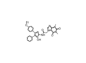 CCOc1ccc(-c2nc(NC(=O)Cn3cnc4c3c(=O)n(C)c(=O)n4C)n(O)c2-c2ccccc2)cc1